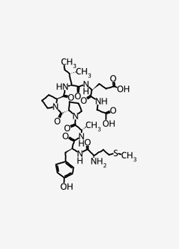 CC[C@H](C)[C@H](NC(=O)[C@@H]1CCCN1C(=O)[C@@H]1CCCN1C(=O)[C@H](C)NC(=O)[C@H](Cc1ccc(O)cc1)NC(=O)[C@@H](N)CCSC)C(=O)N[C@@H](CCC(=O)O)C(=O)NCC(=O)O